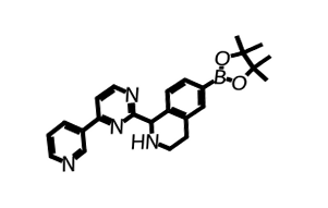 CC1(C)OB(c2ccc3c(c2)CCNC3c2nccc(-c3cccnc3)n2)OC1(C)C